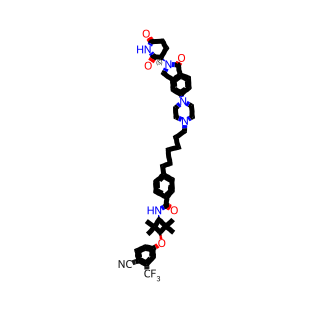 CC1(C)[C@H](NC(=O)c2ccc(CCCCCCN3CCN(c4ccc5c(c4)CN([C@H]4CCC(=O)NC4=O)C5=O)CC3)cc2)C(C)(C)[C@H]1Oc1ccc(C#N)c(C(F)(F)F)c1